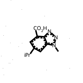 CC(C)c1cc(C(=O)O)c2nnn(C)c2c1